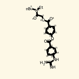 CCCCN(CC)C(=O)COC(=O)c1ccc(OC(=O)c2ccc(NC(=N)N)cc2)cc1